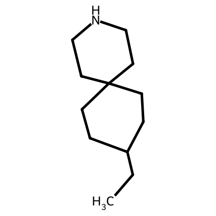 CCC1CCC2(CCNCC2)CC1